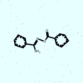 NC(=NOC(=O)c1ccccc1)c1ccccc1